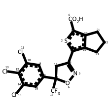 O=C(O)c1sc(C2=NOC(c3cc(Cl)c(Cl)c(Cl)c3)(C(F)(F)F)C2)c2c1CCC2